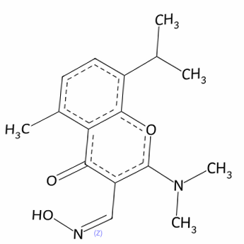 Cc1ccc(C(C)C)c2oc(N(C)C)c(/C=N\O)c(=O)c12